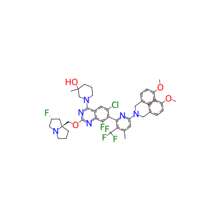 COc1ccc(CN(Cc2ccc(OC)cc2)c2cc(C)c(C(F)(F)F)c(-c3c(Cl)cc4c(N5CCCC(C)(O)C5)nc(OC[C@@]56CCCN5C[C@H](F)C6)nc4c3F)n2)cc1